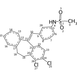 CS(=O)(=O)Nc1cccc(/C=C2/c3ccccc3CCc3c2ccc(Cl)c3Cl)c1